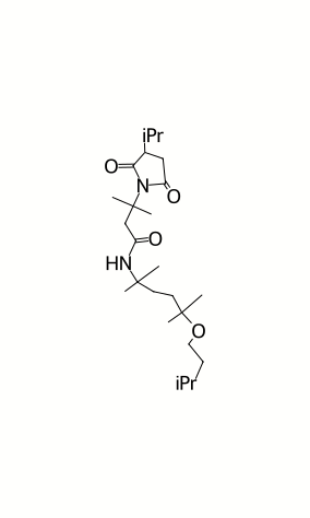 CC(C)CCOC(C)(C)CCC(C)(C)NC(=O)CC(C)(C)N1C(=O)CC(C(C)C)C1=O